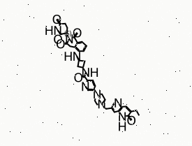 CCc1cc2ncc(CN3CCN(c4ccc(C(=O)NC5CC(Nc6cccc7c6CC(=O)N([C@H]6CCC(=O)NC6=O)C7=O)C5)nc4)CC3)cc2[nH]c1=O